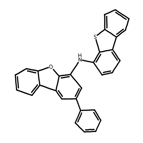 c1ccc(-c2cc(Nc3cccc4c3sc3ccccc34)c3oc4ccccc4c3c2)cc1